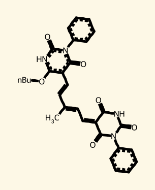 CCCCOc1[nH]c(=O)n(-c2ccccc2)c(=O)c1C=CC(C)=C/C=C1\C(=O)NC(=O)N(c2ccccc2)C1=O